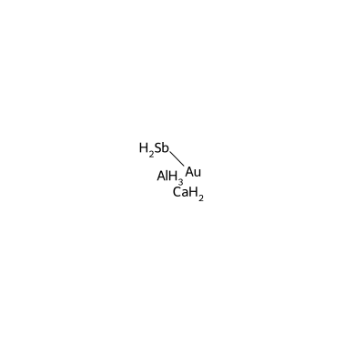 [AlH3].[CaH2].[SbH2][Au]